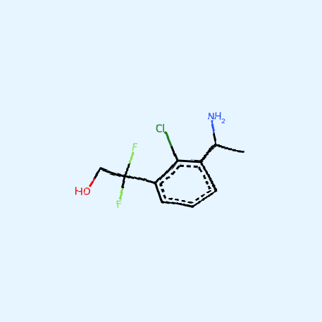 CC(N)c1cccc(C(F)(F)CO)c1Cl